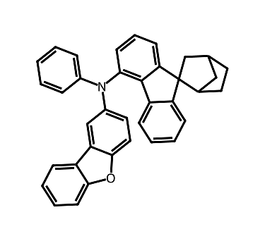 c1ccc(N(c2ccc3oc4ccccc4c3c2)c2cccc3c2-c2ccccc2C32CC3CCC2C3)cc1